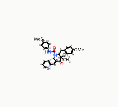 COc1ccc(CC2N(C(=O)Nc3ccc(SC)cc3)CC(=Cc3ccccn3)C(=O)C2(C)C)cc1